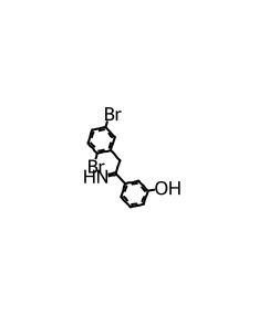 N=C(Cc1cc(Br)ccc1Br)c1cccc(O)c1